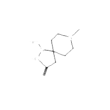 CCCN1NC(=O)CC12CCN(C)CC2